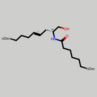 CCCCCCCCCCCCC/C=C/C[C@H](CO)NC(=O)CCCCCCCCCCCCCCC